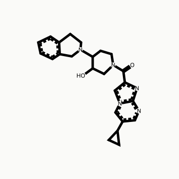 O=C(c1cn2cc(C3CC3)cnc2n1)N1CCC(N2CCc3ccccc3C2)C(O)C1